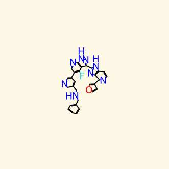 Fc1c(-c2cncc(CNCc3ccccc3)c2)cnc2[nH]nc(-c3nc4c(-c5ccoc5)nccc4[nH]3)c12